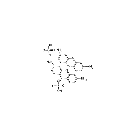 Nc1ccc2cc3ccc(N)cc3nc2c1.Nc1ccc2cc3ccc(N)cc3nc2c1.O=S(=O)(O)O.O=S(=O)(O)O